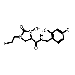 CN1C(=O)N(CCF)CC1C(=O)NCc1ccc(Cl)cc1Cl